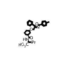 Cc1ccc(-c2nc(CO[C@@H]3CCC[C@H](C(=O)NC(C(=O)O)C(C)C)C3)c(-c3ccccc3)o2)cc1